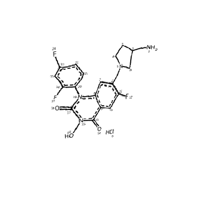 Cl.NC1CCN(c2cc3c(cc2F)c(=O)n(O)c(=O)n3-c2ccc(F)cc2F)C1